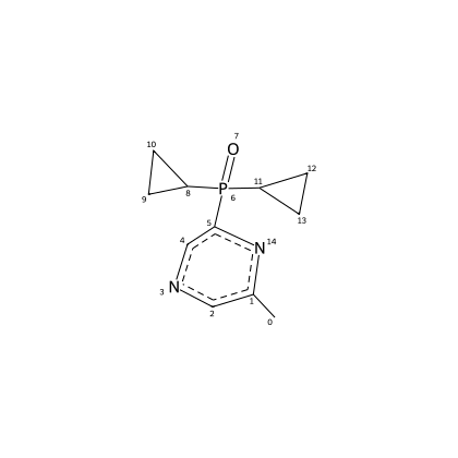 Cc1cncc(P(=O)(C2CC2)C2CC2)n1